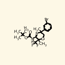 CC(C)(C)OC(=O)NC1=NC(C)(c2cccc(Br)c2)COC1(C)C(F)(F)F